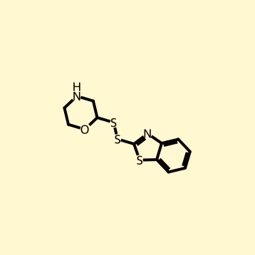 c1ccc2sc(SSC3CNCCO3)nc2c1